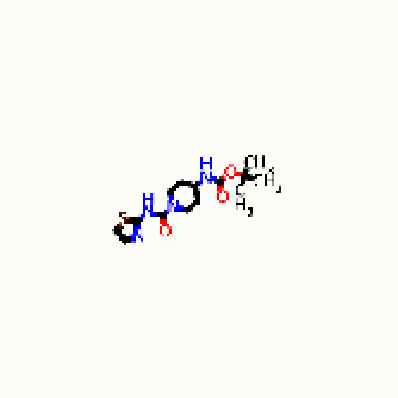 CC(C)(C)OC(=O)NC1CCN(C(=O)Nc2nccs2)CC1